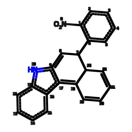 O=[N+]([O-])c1ccccc1C1C=c2[nH]c3ccccc3c2=C2C=CC=CC21